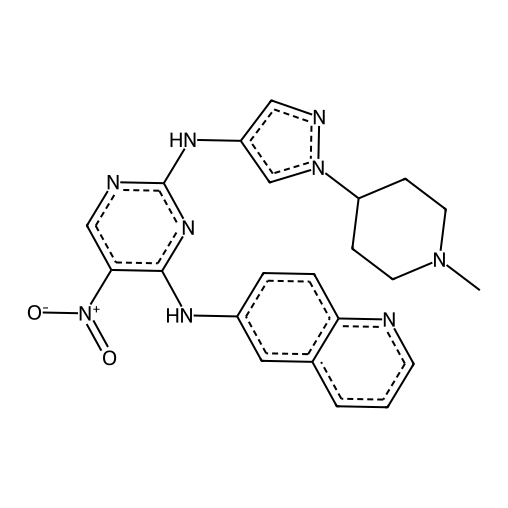 CN1CCC(n2cc(Nc3ncc([N+](=O)[O-])c(Nc4ccc5ncccc5c4)n3)cn2)CC1